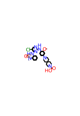 COc1cc(N2CCC3(CCN(C(=O)O)CC3)CC2)ccc1Nc1ncc(Cl)c(Nc2ccccc2N(C)[S+](C)[O-])n1